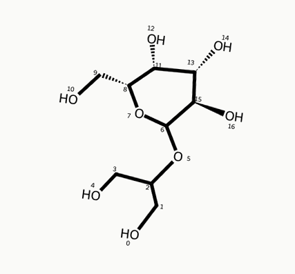 OCC(CO)OC1O[C@H](CO)[C@H](O)[C@H](O)[C@H]1O